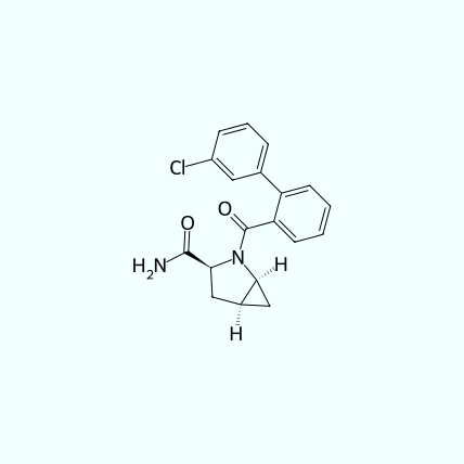 NC(=O)[C@@H]1C[C@@H]2C[C@@H]2N1C(=O)c1ccccc1-c1cccc(Cl)c1